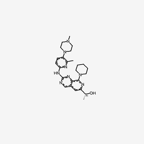 Cc1nc(Nc2ncc3cc([C@@H](C)O)nc(N4CCCCC4)c3n2)ccc1N1CCN(C)CC1